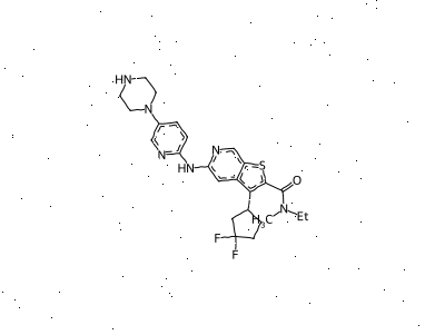 CCN(C)C(=O)c1sc2cnc(Nc3ccc(N4CCNCC4)cn3)cc2c1C1CCC(F)(F)C1